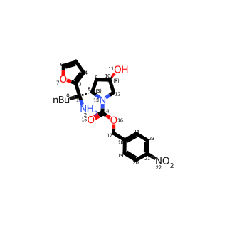 CCCCC(N)(c1ccco1)[C@@H]1C[C@@H](O)CN1C(=O)OCc1ccc([N+](=O)[O-])cc1